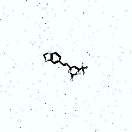 O=c1nc(/C=C/c2ccc3c(c2)OCO3)cc(C(F)(F)F)[nH]1